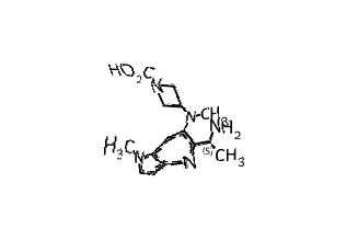 C[C@H](N)c1nc2ccn(C)c2cc1N(C)C1CN(C(=O)O)C1